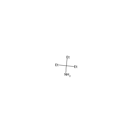 [CH2]CC(N)(CC)CC